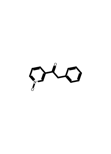 O=C(Cc1ccccc1)c1ccc[n+]([O-])c1